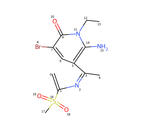 C=C(/N=C(/C)c1cc(Br)c(=O)n(CC)c1N)S(C)(=O)=O